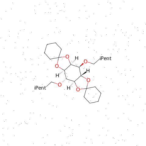 CCCC(C)CO[C@@H]1[C@H]2OC3(CCCCC3)O[C@H]2[C@@H](OCC(C)CCC)[C@@H]2OC3(CCCCC3)O[C@@H]12